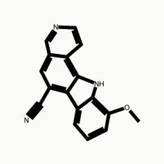 COc1cccc2c1[nH]c1c3ccncc3cc(C#N)c21